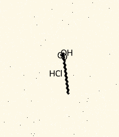 CCCCCCCCCCCCCCCCCCOC(=O)O.Cl